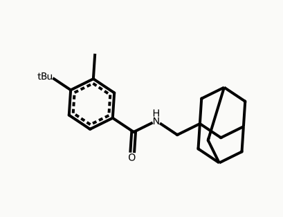 Cc1cc(C(=O)NCC23CC4CC(CC(C4)C2)C3)ccc1C(C)(C)C